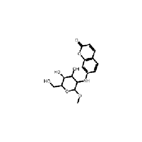 COC1OC(CO)[C@@H](O)C(O)C1Nc1ccc2ccc(=O)oc2c1